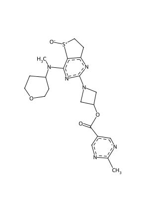 Cc1ncc(C(=O)OC2CN(c3nc4c(c(N(C)C5CCOCC5)n3)[S+]([O-])CC4)C2)cn1